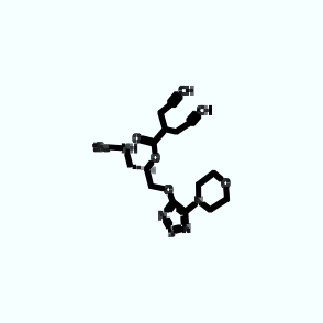 C#CCC(CC#C)C(=O)O[C@@H](CNC(C)(C)C)COc1nsnc1N1CCOCC1